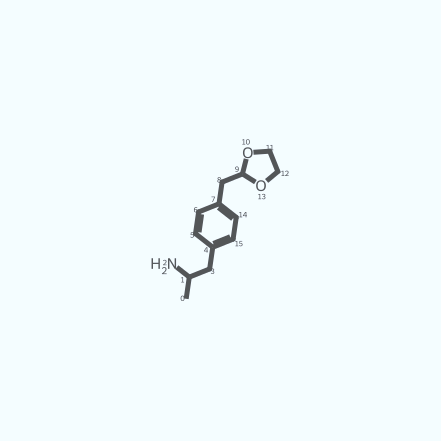 CC(N)Cc1ccc(CC2OCCO2)cc1